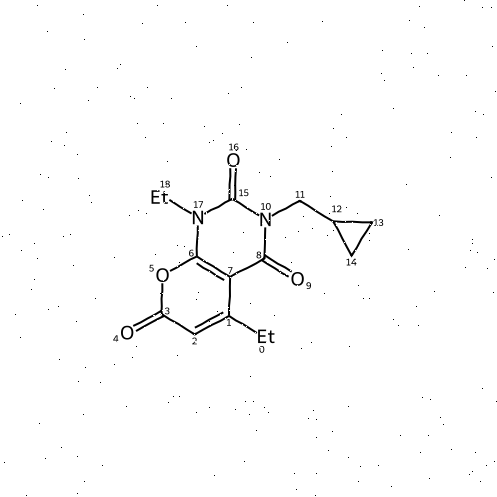 CCc1cc(=O)oc2c1c(=O)n(CC1CC1)c(=O)n2CC